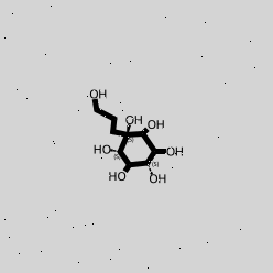 OCCC[C@]1(O)C(O)C(O)[C@H](O)C(O)[C@@H]1O